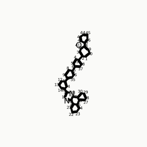 C1=CC(c2ccc(-c3ccc(-c4cccc(-c5cnc6c7ccccc7c7ccccc7c6n5)c4)cc3)cc2)=CC2Oc3ccccc3C2=C1